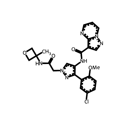 COc1ccc(Cl)cc1-c1nn(CC(=O)NC2(C)COC2)cc1NC(=O)c1cnn2cccnc12